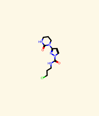 O=C1NCCCN1c1ccn(C(=O)NCCCCl)n1